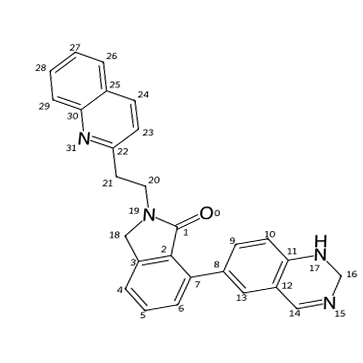 O=C1c2c(cccc2-c2ccc3c(c2)C=NCN3)CN1CCc1ccc2ccccc2n1